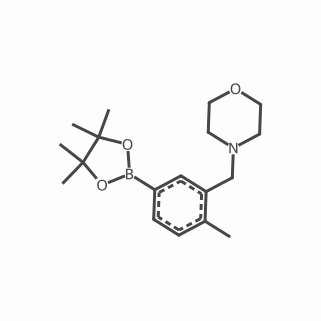 Cc1ccc(B2OC(C)(C)C(C)(C)O2)cc1CN1CCOCC1